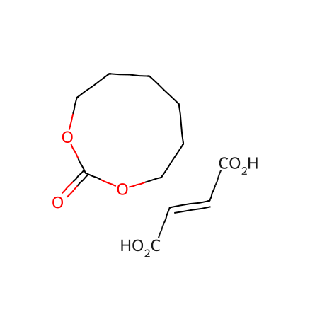 O=C(O)C=CC(=O)O.O=C1OCCCCCCO1